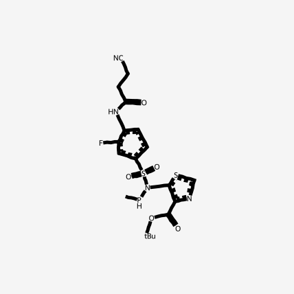 CPN(c1scnc1C(=O)OC(C)(C)C)S(=O)(=O)c1ccc(NC(=O)CCC#N)c(F)c1